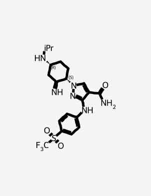 CC(C)N[C@@H]1CC[C@H](n2cc(C(N)=O)c(Nc3ccc(S(=O)(=O)C(F)(F)F)cc3)n2)C(=N)C1